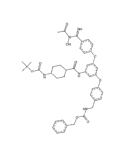 CC(=O)N(O)C(=N)c1ccc(Oc2cc(NC(=O)C3CCC(NC(=O)OC(C)(C)C)CC3)cc(Oc3ccc(CNC(=O)OCc4ccccc4)cc3)c2)cc1